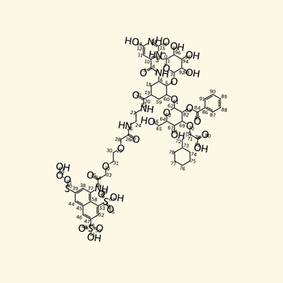 CC1OC(OC2C(NC(=O)c3cc(O)nc(O)n3)CC(C(=O)NCCNC(=O)COCCOCC(=O)Nc3cc(SOOO)cc4cc(S(=O)(=O)O)cc(S(=O)(=O)O)c34)CC2OC2OC(CO)C(O)C(O[C@@H](CC3CCCCC3)C(=O)O)C2OC(=O)c2ccccc2)C(O)C(O)C1O